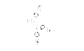 CCC(COC(=O)NCc1ccc(CN=C=O)cc1)(Cc1ccc(CN=C=O)cc1)Cc1ccc(CN=C=O)cc1